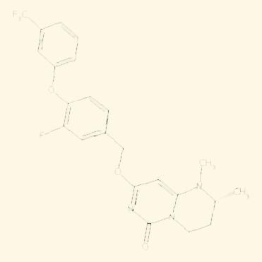 C[C@@H]1CCn2c(cc(OCc3ccc(Oc4cccc(C(F)(F)F)c4)c(F)c3)nc2=O)N1C